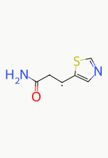 NC(=O)C[CH]c1cncs1